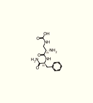 NC(=O)[C@H](Cc1ccccc1)NC(=O)[C@@H](N)CNC(=O)O